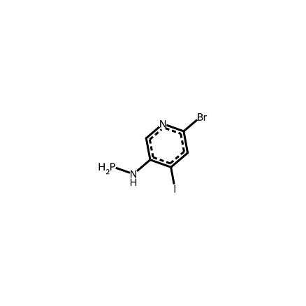 PNc1cnc(Br)cc1I